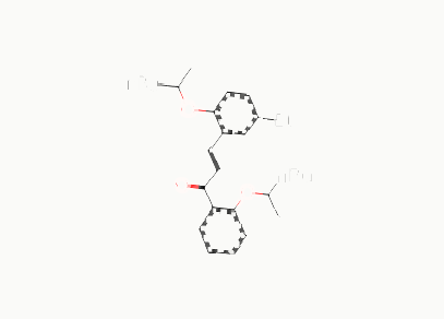 CCCCC(C)Oc1ccc(CC)cc1C=CC(=O)c1ccccc1OC(C)CCCC